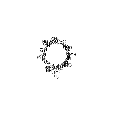 CCCC[C@H]1C(=O)N2C[C@H](O)C[C@@H]2C(=O)N[C@@H](CC(=O)O)C(=O)N[C@@H](C(C)C)C(=O)N(C)[C@@H](Cc2ccccc2)C(=O)N[C@@H](CC(=O)O)C(=O)N2C[C@H](O)C[C@H]2C(=O)N[C@@H](Cc2c[nH]c3ccccc23)C(=O)N[C@@H](Cc2ccc(O)cc2)C(=O)N[C@@H](CCCCN)C(=O)N[C@H](C(=O)NCC(N)=O)CSCC(=O)N[C@@H](Cc2cc(F)c(F)c(F)c2)C(=O)N(C)[C@@H](Cc2ccccc2)C(=O)N1C